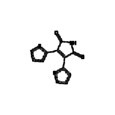 O=C1NC(=O)C(c2cccs2)=C1c1cccs1